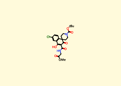 COC(=O)CNC(=O)C1=C(O)c2cc(Cl)ccc2C2(CCN(C(=O)OC(C)(C)C)CC2)C1=O